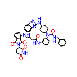 O=C1CCC(N2C(=O)c3cccc(NCCCC(=O)Nc4cccc(N(C(=O)NCc5ccccc5)C5CCC(Nc6ncc7ccccc7n6)CC5)c4)c3C2=O)C(=O)N1